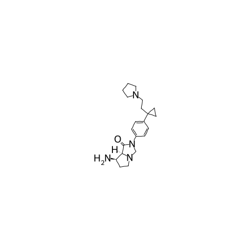 N[C@@H]1CCN2CN(c3ccc(C4(CCN5CCCC5)CC4)cc3)C(=O)[C@H]12